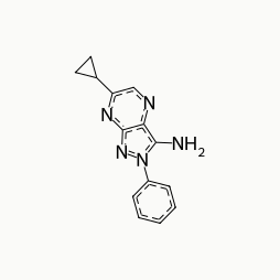 Nc1c2ncc(C3CC3)nc2nn1-c1ccccc1